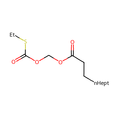 CCCCCCCCCC(=O)OCOC(=O)SCC